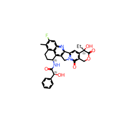 CC[C@@]1(O)C(=O)OCc2c1cc1n(c2=O)Cc2c-1nc1cc(F)c(C)c3c1c2[C@@H](NC(=O)[C@@H](O)c1ccccc1)CC3